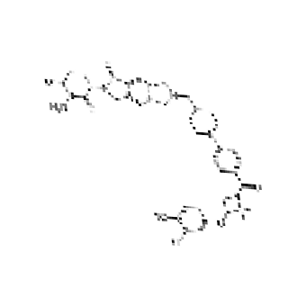 CC1(C)[C@@H](Oc2ccc(C#N)c(Cl)c2)CN1C(=O)c1ccc(N2CCC(CN3Cc4cc5c(cc4C3)C(=O)N(C3CCC(=O)N(N)C3=O)C5)CC2)cc1